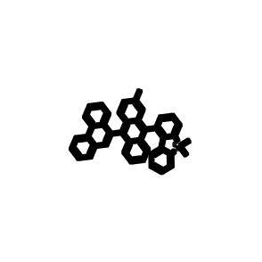 Cc1ccc2c(-c3cc4ccccc4c4ccccc34)c3ccccc3c(-c3cccc4c3-c3ccccc3[Si]4(C)C)c2c1